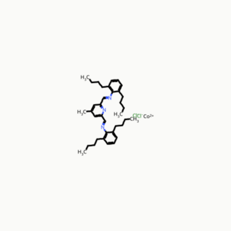 CCCCc1cccc(CCCC)c1N=Cc1cc(C)cc(C=Nc2c(CCCC)cccc2CCCC)n1.[Cl-].[Cl-].[Co+2]